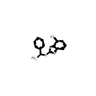 O=C(O)C(Sc1nc2cccc(Cl)c2s1)c1ccccc1